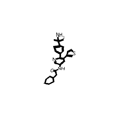 CC(C)(N)c1ccc(-c2ncc(NC(=O)CC3CC[CH]CC3)cc2-c2ccsc2)cc1